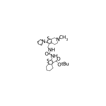 CN1CCc2c(sc(-n3cccc3)c2CNC(=O)Nc2sc3c(c2C(=O)OC(C)(C)C)CCCC3)C1